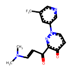 CN(C)C=CC(=O)c1nn(-c2cncc(C(F)(F)F)c2)ccc1=O